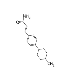 CC1CCC(c2ccc(/C=C/C(N)=O)cc2)CC1